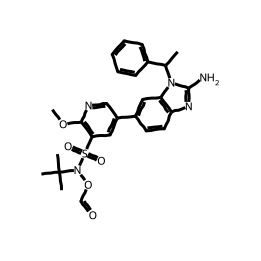 COc1ncc(-c2ccc3nc(N)n(C(C)c4ccccc4)c3c2)cc1S(=O)(=O)N(OC=O)C(C)(C)C